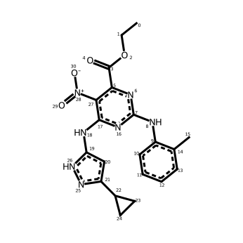 CCOC(=O)c1nc(Nc2ccccc2C)nc(Nc2cc(C3CC3)n[nH]2)c1[N+](=O)[O-]